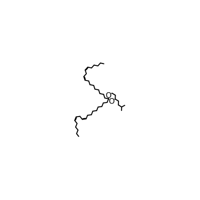 CCCCC/C=C\C/C=C\CCCCCCCCC1(CCCCCCCC/C=C\C/C=C\CCCCC)OCCC(CCC(C)C)O1